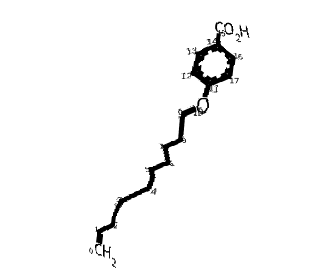 C=CCCCCCCCCOc1ccc(C(=O)O)cc1